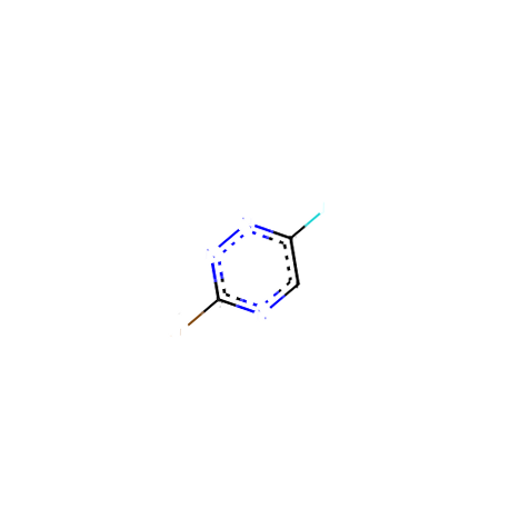 Fc1[c]nc(Br)nn1